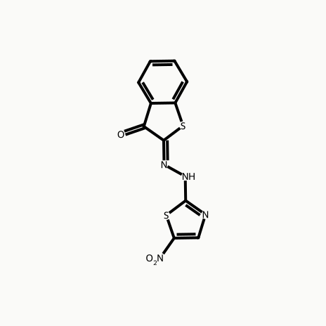 O=C1C(=NNc2ncc([N+](=O)[O-])s2)Sc2ccccc21